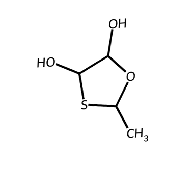 CC1OC(O)C(O)S1